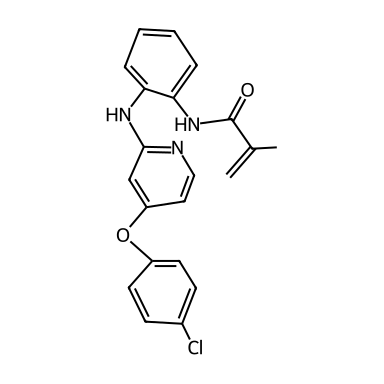 C=C(C)C(=O)Nc1ccccc1Nc1cc(Oc2ccc(Cl)cc2)ccn1